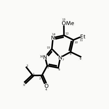 C=C(C)C(=O)c1cn2c(C)c(CC)c(OC)nc2n1